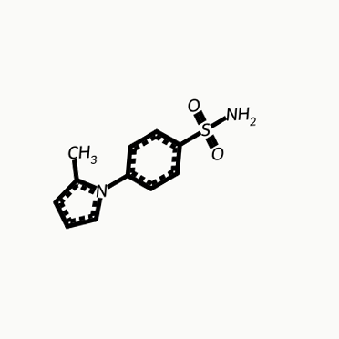 Cc1cccn1-c1ccc(S(N)(=O)=O)cc1